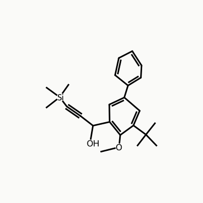 COc1c(C(O)C#C[Si](C)(C)C)cc(-c2ccccc2)cc1C(C)(C)C